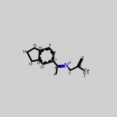 C=C(CC)C/N=C(\C)c1ccc2c(c1)CCC2